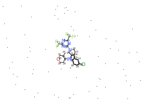 FC(F)c1nc(C(F)F)nc(N2CCc3c([nH]c4ccc(Cl)cc34)[C@@H]2C[C@H]2CCCOC2)n1